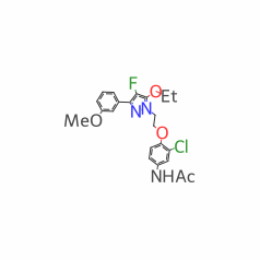 CCOc1c(F)c(-c2cccc(OC)c2)nn1CCOc1ccc(NC(C)=O)cc1Cl